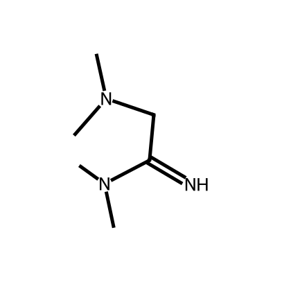 CN(C)CC(=N)N(C)C